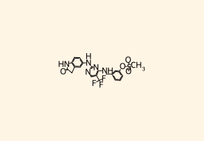 CS(=O)(=O)Oc1cccc(CNc2nc(Nc3ccc4c(c3)CC(=O)N4)ncc2C(F)(F)F)c1